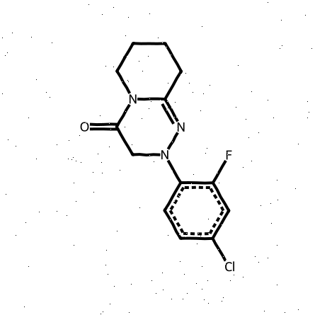 O=C1CN(c2ccc(Cl)cc2F)N=C2CCCCN12